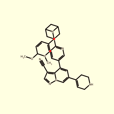 COC1C=CC(CN2C3CC2CN(c2ccc(-c4cc(C5=CCNCC5)cn5ncc(C#N)c45)cn2)C3)=CN1C